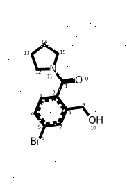 O=C(c1ccc(Br)cc1CO)N1CCCC1